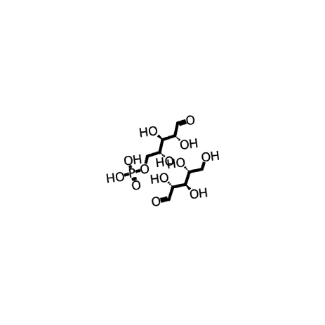 O=C[C@H](O)[C@H](O)[C@H](O)CO.O=C[C@H](O)[C@H](O)[C@H](O)COP(=O)(O)O